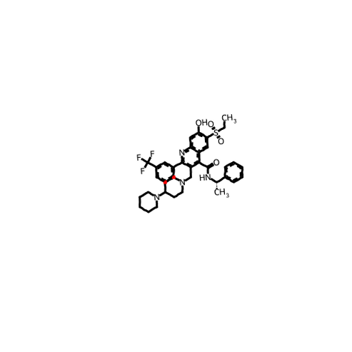 CCS(=O)(=O)c1cc2c(C(=O)N[C@@H](C)c3ccccc3)c(CN3CCC(N4CCCCC4)CC3)c(-c3cccc(C(F)(F)F)c3)nc2cc1O